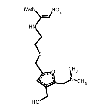 CNC(=C[N+](=O)[O-])NCCSCc1cc(CO)c(CN(C)C)o1